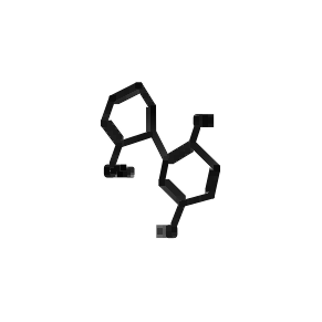 COc1ccccc1-c1cc(O)ccc1O